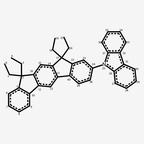 CCC1(CC)c2ccccc2-c2cc3c(cc21)C(CC)(CC)c1cc(-n2c4ccccc4c4ccccc42)ccc1-3